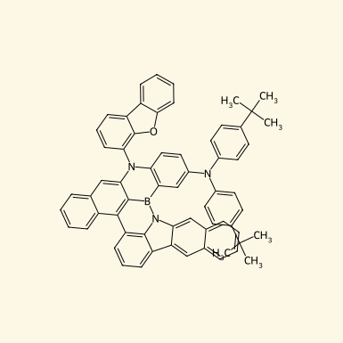 CC(C)(C)c1ccc(N(c2ccc(C(C)(C)C)cc2)c2ccc3c(c2)B2c4c(cc5ccccc5c4-c4cccc5c6cc7ccccc7cc6n2c45)N3c2cccc3c2oc2ccccc23)cc1